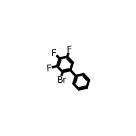 Fc1cc(-c2ccccc2)c(Br)c(F)c1F